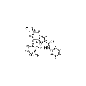 O=C(Nc1ccccc1)c1cc2cc([N+](=O)[O-])ccc2n1Cc1ccccc1F